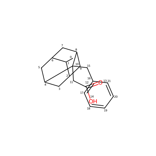 CC1C2CC3CC1CC(C2)C3(CC(=O)O)Cc1ccccc1